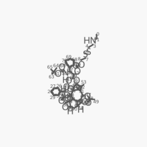 CCNCCSSCCOC(=O)O[C@@H](C(=O)O[C@H]1C[C@@]2(O)[C@@H](OC(=O)c3ccccc3)[C@@H]3[C@]4(OC(C)=O)CO[C@@H]4C[C@@H]4C[C@@]43C(=O)[C@H](OC(C)=O)C(=C1C)C2(C)C)[C@@H](NC(=O)OC(C)(C)C)c1ccccc1